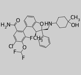 C[C@H]1c2c(cccc2-c2c(C(N)=O)cc(Cl)c(OC(F)F)c2F)O[C@]1(CNC1CCC(C)(O)CC1)c1ccccc1